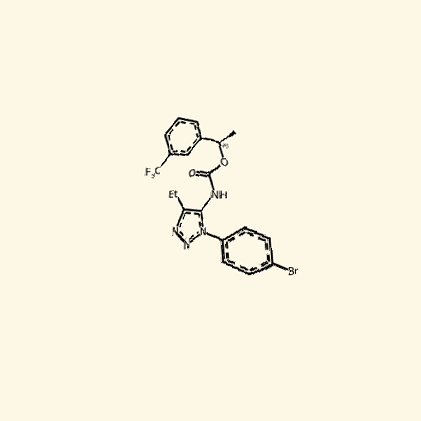 CCc1nnn(-c2ccc(Br)cc2)c1NC(=O)O[C@H](C)c1cccc(C(F)(F)F)c1